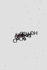 Cn1c(C(=O)N2CCC(C(N)=O)(c3ccc(Cl)cc3)CC2)cc(-c2ccccc2Cl)c1-c1ccc(OCCCO)cc1